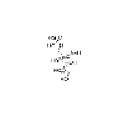 O=P(O)(O)OC[C@H](O)[C@@H](O)[C@H](O)[C@H](O)CO.[NaH]